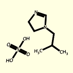 CC(C)CN1C=NCC1.O=S(=O)(O)O